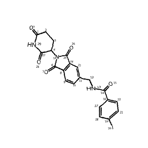 O=C1CCC(N2C(=O)c3ccc(CNC(=O)c4ccc(I)cc4)cc3C2=O)C(=O)N1